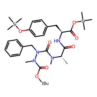 C[C@@H](C(=O)N[C@@H](Cc1ccc(O[Si](C)(C)C)cc1)C(=O)O[Si](C)(C)C)N(C)C(=O)N(Cc1ccccc1)N(C)C(=O)OC(C)(C)C